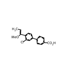 C/C=C(\OC)c1ccc(-c2ccc(C(=O)O)cc2)cc1Cl